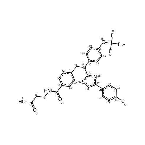 O=C(O)CCNC(=O)c1ccc(CN(c2ccc(OC(F)(F)F)cc2)c2nc(-c3ccc(Cl)cc3)cs2)cc1